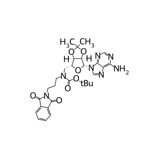 CC(C)(C)OC(=O)N(CCCN1C(=O)c2ccccc2C1=O)C[C@H]1O[C@@H](n2cnc3c(N)ncnc32)[C@@H]2OC(C)(C)O[C@@H]21